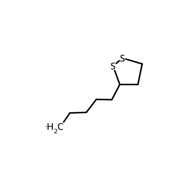 [CH2]CCCCC1CCSS1